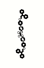 O=C(ON1CCN(c2ccc(OCCC(c3ccccc3)c3ccccc3)cc2)CC1)C(=O)ON1CCN(c2ccc(OCCC(c3ccccc3)c3ccccc3)cc2)CC1